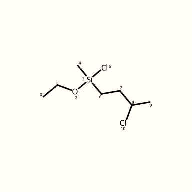 CCO[Si](C)(Cl)CCC(C)Cl